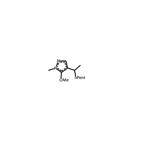 CCCCCC(C)c1cnn(C)c1OC